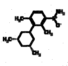 Cc1ccc([S+](N)[O-])c(C)c1C1C[C@@H](C)C[C@@H](C)C1